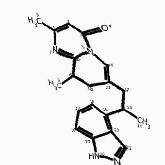 Cc1cc(=O)n2c(n1)C(C)CC(CC(C)c1cccc3[nH]ncc13)=C2